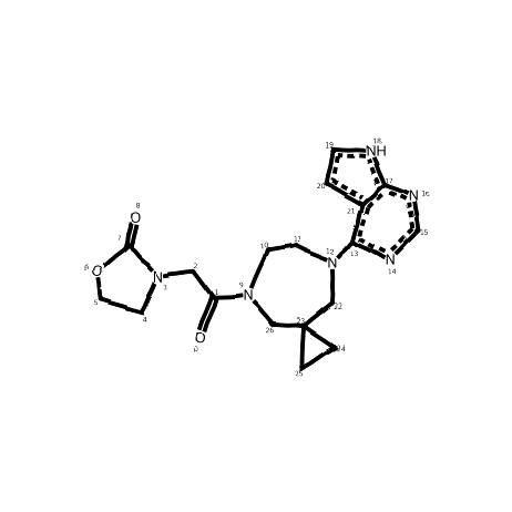 O=C(CN1CCOC1=O)N1CCN(c2ncnc3[nH]ccc23)CC2(CC2)C1